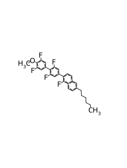 CCCCCCc1ccc2c(F)c(-c3cc(F)c(-c4cc(F)c(OC)c(F)c4)c(F)c3)ccc2c1